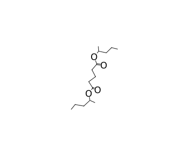 CCCC(C)OC(=O)CCCC(=O)OC(C)CCC